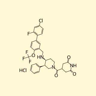 Cl.O=C1CC(C(=O)N2CC[C@H](NCc3cc(-c4ccc(Cl)cc4F)ccc3OC(F)(F)F)[C@H](c3ccccc3)C2)CC(=O)N1